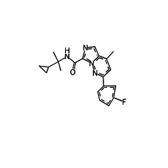 Cc1cc(-c2cccc(F)c2)nn2c(C(=O)NC(C)(C)C3CC3)ncc12